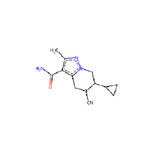 Cc1nn2c(c1C(N)=O)CB(C#N)C(C1CC1)C2